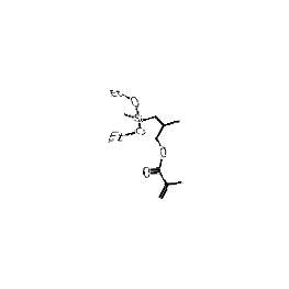 C=C(C)C(=O)OCC(C)C[Si](C)(OCC)OCC